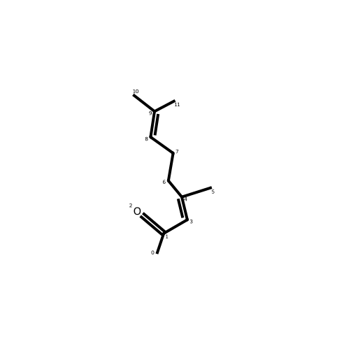 CC(=O)C=C(C)CCC=C(C)C